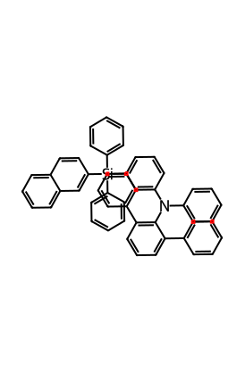 c1ccc(-c2cccc(-c3ccccc3)c2N(c2ccccc2)c2cccc([Si](c3ccccc3)(c3ccccc3)c3ccc4ccccc4c3)c2)cc1